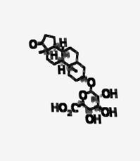 C[C@]12CC[C@@H](OC3O[C@H](C(=O)O)[C@@H](O)[C@H](O)[C@H]3O)CC1CC[C@@H]1[C@@H]2CC[C@]2(C)C(=O)CC[C@@H]12